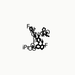 C#Cc1c(F)ccc2cc(OC(=O)OC(C)C)cc(-c3ncc4c(NCC5(N(C)C(=O)C=C)CCCC5)nc(OC[C@]5(C)C[C@@H](F)CN5C)nc4c3F)c12